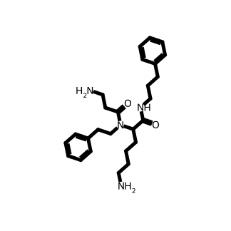 NCCCCC(C(=O)NCCCc1ccccc1)N(CCc1ccccc1)C(=O)CCN